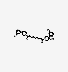 O=C(CCCCCCCC(=O)N1CCC(O)(c2cccc(Cl)c2)CC1)N1CCC(O)(c2cccc(Cl)c2)CC1